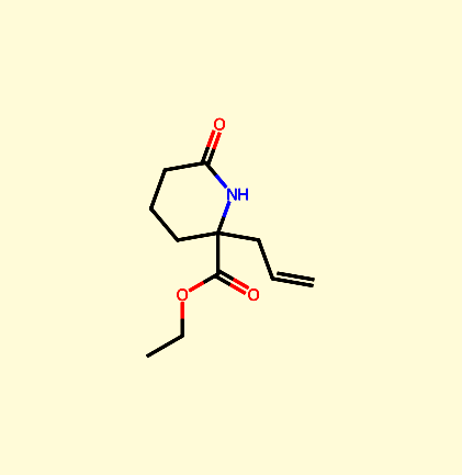 C=CCC1(C(=O)OCC)CCCC(=O)N1